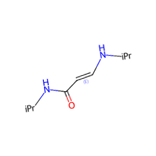 CC(C)N/C=C/C(=O)NC(C)C